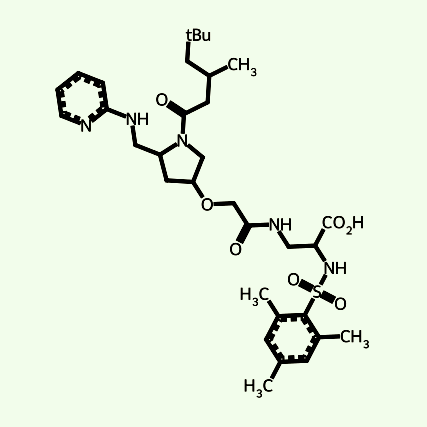 Cc1cc(C)c(S(=O)(=O)NC(CNC(=O)COC2CC(CNc3ccccn3)N(C(=O)CC(C)CC(C)(C)C)C2)C(=O)O)c(C)c1